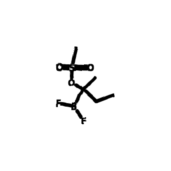 CCC(C)(OS(C)(=O)=O)B(F)F